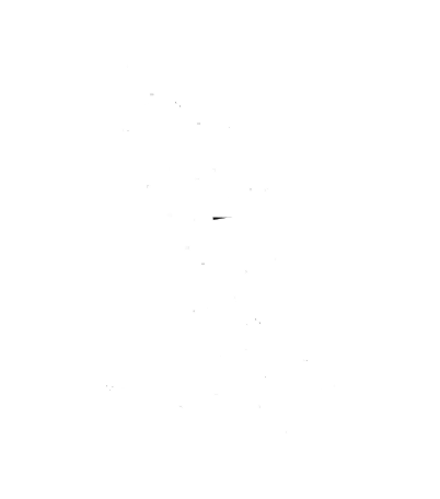 COc1ccc(C(NC(=O)C2CC[C@H]3[C@@H]4CC=C5NC(=O)CC[C@]5(C)[C@@H]4CC[C@]23C)c2ccccc2)cc1